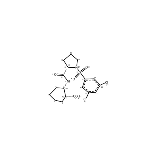 O=C(O)[C@@H]1CCCC[C@@H]1NC(=O)[C@@H]1CCCN1S(=O)(=O)c1cc(Cl)cc(Cl)c1